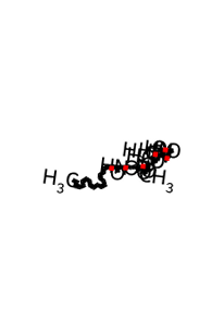 CC/C=C\C/C=C\C/C=C\C/C=C\C/C=C\C/C=C\CCC(=O)NCCOCCNP(=O)(OC)OC[C@H]1OC(n2ccc(=O)[nH]c2=O)[C@](C)(F)[C@@H]1O